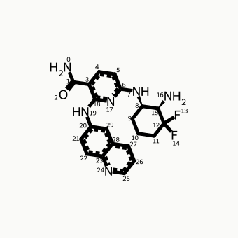 NC(=O)c1ccc(N[C@@H]2CCCC(F)(F)[C@@H]2N)nc1Nc1ccc2ncccc2c1